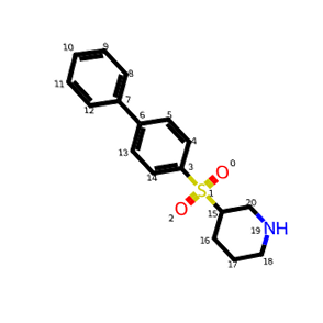 O=S(=O)(c1ccc(-c2ccccc2)cc1)C1CCCNC1